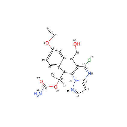 CCOc1ccc(C(c2c(CCO)c(Cl)nc3ccnn23)C(C)(C)OC(N)=O)cc1